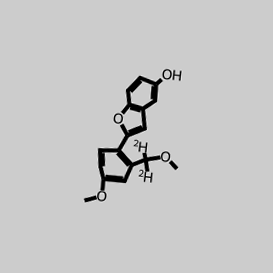 [2H]C([2H])(OC)c1cc(OC)ccc1-c1cc2cc(O)ccc2o1